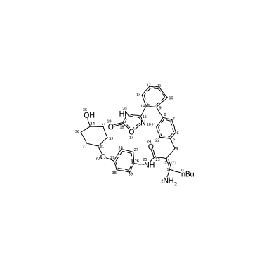 CCCC/C(N)=C(\Cc1ccc(-c2ccccc2-c2noc(=O)[nH]2)cc1)C(=O)Nc1ccc(OC2CCC(O)CC2)cc1